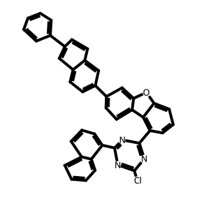 Clc1nc(-c2cccc3ccccc23)nc(-c2cccc3oc4cc(-c5ccc6cc(-c7ccccc7)ccc6c5)ccc4c23)n1